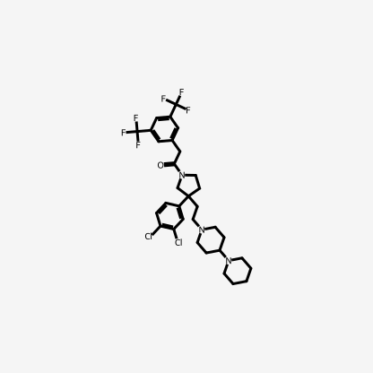 O=C(Cc1cc(C(F)(F)F)cc(C(F)(F)F)c1)N1CCC(CCN2CCC(N3CCCCC3)CC2)(c2ccc(Cl)c(Cl)c2)C1